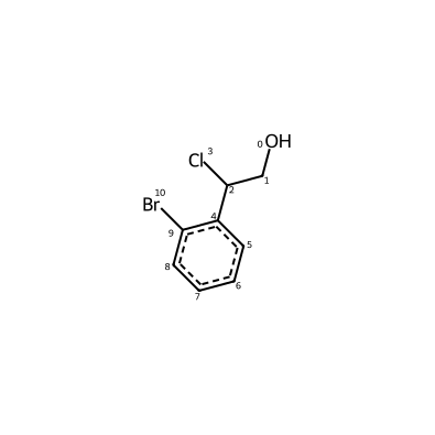 OCC(Cl)c1ccccc1Br